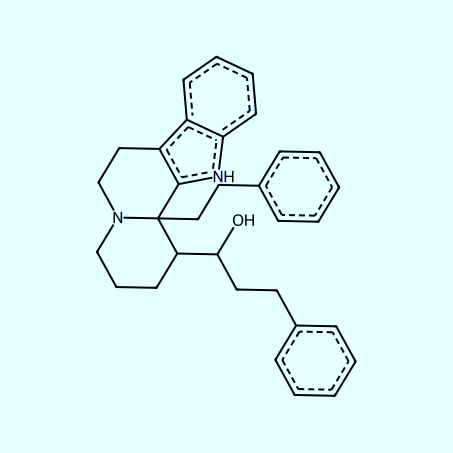 OC(CCc1ccccc1)C1CCCN2CCc3c([nH]c4ccccc34)C12CCc1ccccc1